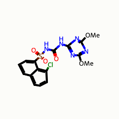 COc1nc(NC(=O)NS(=O)(=O)c2cccc3cccc(Cl)c23)nc(OC)n1